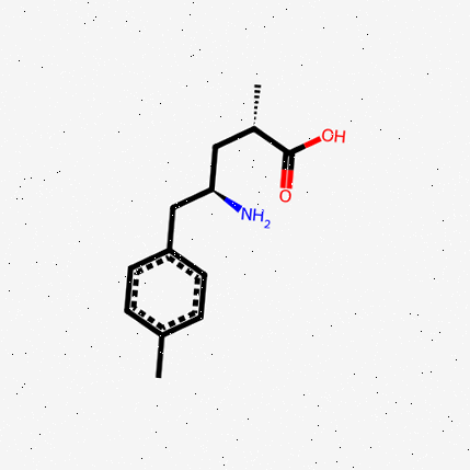 Cc1ccc(C[C@H](N)C[C@H](C)C(=O)O)cc1